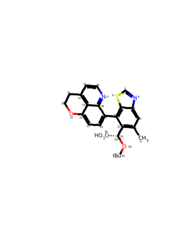 Cc1cc2ncsc2c(-c2ccc3c4c(ccnc24)CCO3)c1[C@H](OC(C)(C)C)C(=O)O